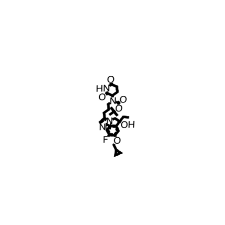 CCC(O)(Cn1nncc1CCCN(C(=O)OC(C)(C)C)C1CCC(=O)NC1=O)c1ccc(F)c(OCC2CC2)c1